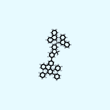 CC1(C)c2cc(-c3ccc4c(c3)c3ccccc3c3c(-c5ccccc5)cc(-c5ccccc5)c(-c5ccccc5)c43)ccc2-c2ccc(N(c3cc4ccccc4c4ccccc34)c3cc4ccccc4c4ccccc34)cc21